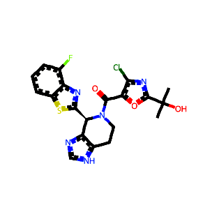 CC(C)(O)c1nc(Cl)c(C(=O)N2CCc3[nH]cnc3[C@H]2c2nc3c(F)cccc3s2)o1